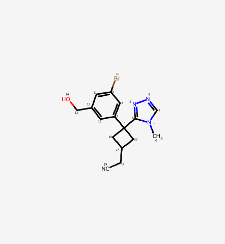 Cn1cnnc1C1(c2cc(Br)cc(CO)c2)CC(CC#N)C1